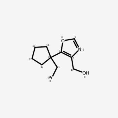 CC(C)CC1(c2ocnc2CO)CCCC1